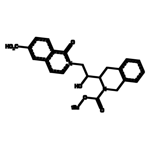 CC(C)(C)OC(=O)N1Cc2ccccc2CC1C(O)Cn1ccc2cc(C(=O)O)ccc2c1=O